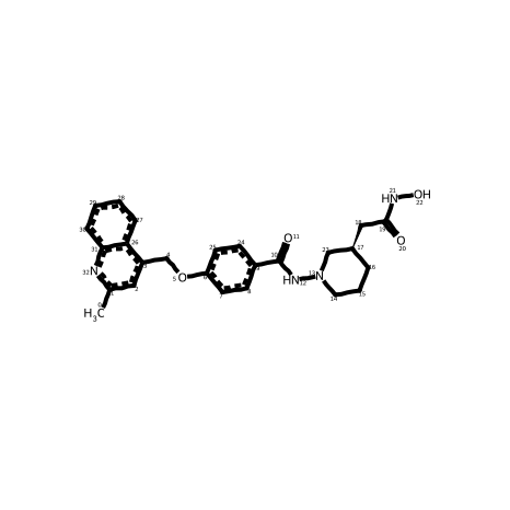 Cc1cc(COc2ccc(C(=O)NN3CCC[C@H](CC(=O)NO)C3)cc2)c2ccccc2n1